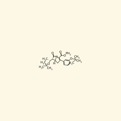 C[C@@H](O[Si](C)(C)C)[C@H]1C(=O)N2C(C(=O)OP)=C(c3cccc(O[Si](C)(C)C)c3)C[C@H]12